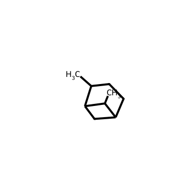 CC1CCC2CC1C2C